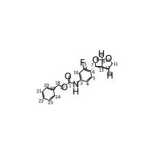 O=C(Nc1ccc([C@@]23O[C@@H]4OC[C@H]2C43)c(F)c1)OCc1ccccc1